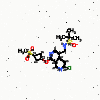 CC(C)(C)[S@+]([O-])N=Cc1cnc(OC2CC(S(C)(=O)=O)C2)c2cnc(Cl)cc12